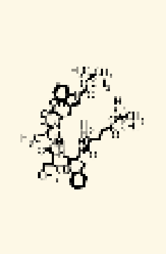 CC[C@H](C)[C@H](NC(=O)[C@H](Cc1ccccc1)NC(=O)[C@@H](N)CCC(=O)OC(C)(C)C)C(=O)N[C@@H](C)C(=O)N[C@@H](Cc1cn(C(=O)OC(C)(C)C)c2ccccc12)C(=O)O